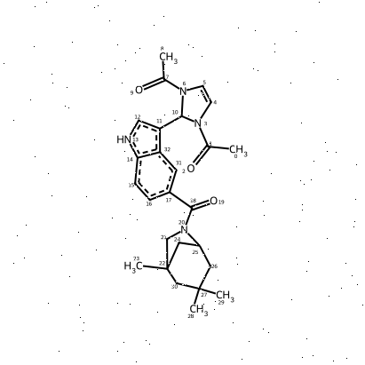 CC(=O)N1C=CN(C(C)=O)C1c1c[nH]c2ccc(C(=O)N3CC4(C)CC3CC(C)(C)C4)cc12